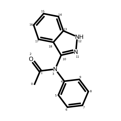 CC(=O)N(c1ccccc1)c1n[nH]c2ccccc12